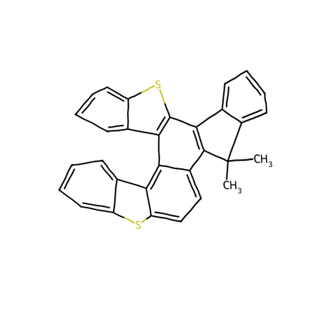 CC1(C)c2ccccc2-c2c1c1ccc3sc4ccccc4c3c1c1c2sc2ccccc21